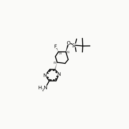 CC(C)(C)[Si](C)(C)O[C@H]1CC[C@H](c2cnc(N)cn2)C[C@@H]1F